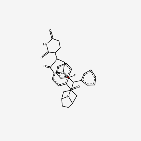 O=C1CCC(N2Cc3c(ccc(C(=O)N4C5CCC4CN(C(c4ccccc4)c4ccccc4)C5)c3F)C2=O)C(=O)N1